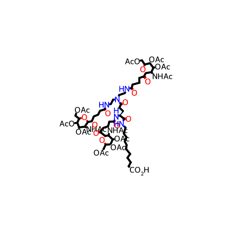 CC(=O)NC1C(C(=O)CCCC(=O)NCCN(CCNC(=O)CCCC(=O)C2OC(COC(C)=O)C(OC(C)=O)C(OC(C)=O)C2NC(C)=O)C(=O)CC[C@H](NC(=O)CCCC(=O)C2OC(COC(C)=O)C(OC(C)=O)C(OC(C)=O)C2NC(C)=O)C(=O)NCCCCCCCCCCC(=O)O)OC(COC(C)=O)C(OC(C)=O)C1OC(C)=O